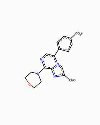 O=Cc1cn2c(-c3ccc(C(=O)O)cc3)cnc(N3CCOCC3)c2n1